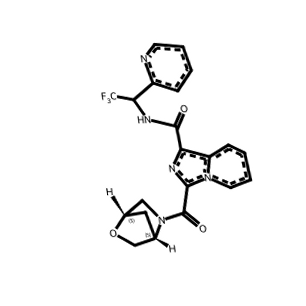 O=C(NC(c1ccccn1)C(F)(F)F)c1nc(C(=O)N2C[C@@H]3C[C@H]2CO3)n2ccccc12